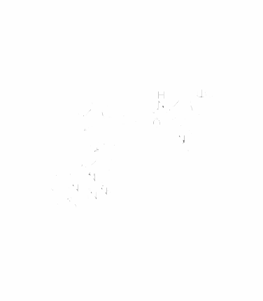 C[C@H]1CCCCN1c1nnc2ccc(O[C@@H]3CC[C@H](CCCC(=O)Nc4cc(CN(C)C)cc(C(C)(C)C)c4)c4ccccc43)cn12